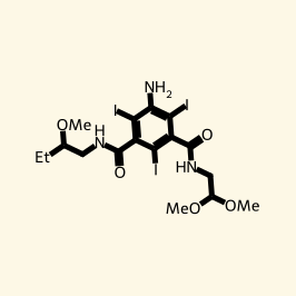 CCC(CNC(=O)c1c(I)c(N)c(I)c(C(=O)NCC(OC)OC)c1I)OC